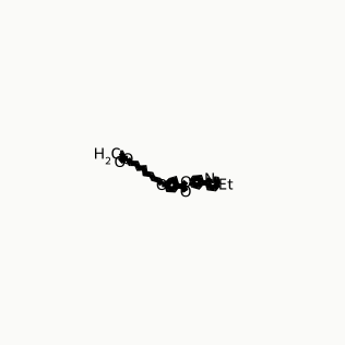 C=CC(=O)OCCCCCCCCOc1ccc(C(=O)Oc2ccc(-c3ccc(CC)cn3)cc2)cc1